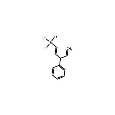 C=CC(C=C[Si](CC)(CC)CC)c1ccccc1